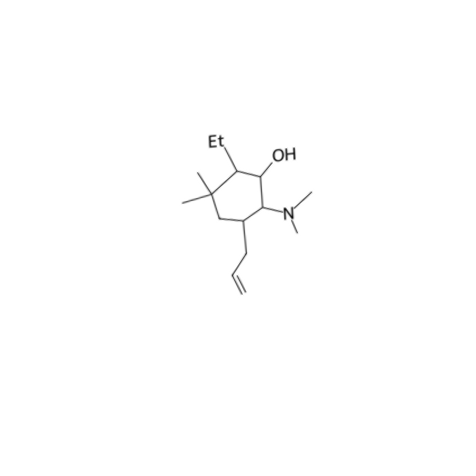 C=CCC1CC(C)(C)C(CC)C(O)C1N(C)C